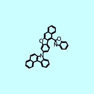 c1ccc2c(-c3nc4ccccc4o3)c3c(cc2c1)oc1cc(-n2c4ccccc4c4c5ccccc5ccc42)ccc13